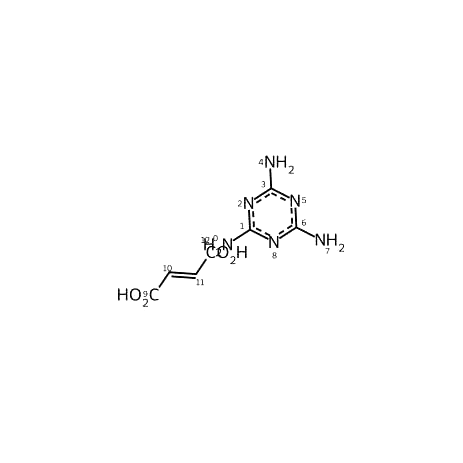 Nc1nc(N)nc(N)n1.O=C(O)C=CC(=O)O